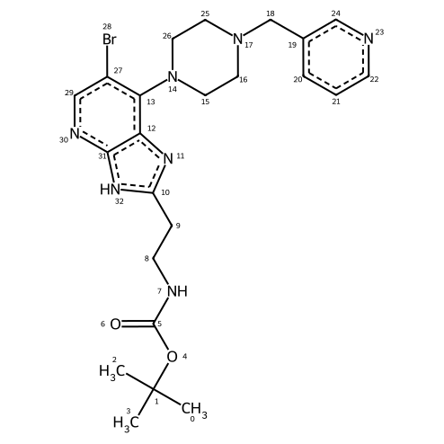 CC(C)(C)OC(=O)NCCc1nc2c(N3CCN(Cc4cccnc4)CC3)c(Br)cnc2[nH]1